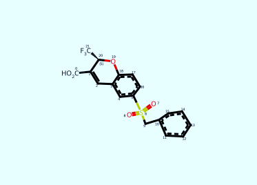 O=C(O)C1=Cc2cc(S(=O)(=O)Cc3ccccc3)ccc2O[C@@H]1C(F)(F)F